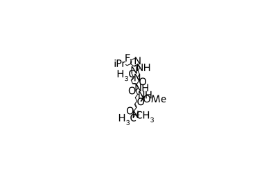 COC(=O)NC(CCC=CC(=O)N(C)C)C(=O)Nc1ccc(C)n(Cc2nc3c(CC(C)C)c(F)cnc3[nH]2)c1=O